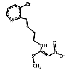 CS/C(=C/[N+](=O)[O-])NCCSCc1ncccc1Br